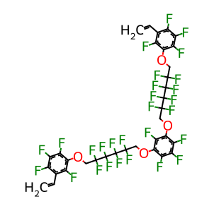 C=Cc1c(F)c(F)c(F)c(OCC(F)(F)C(F)(F)C(F)(F)C(F)(F)COc2c(F)c(F)c(F)c(OCC(F)(F)C(F)(F)C(F)(F)C(F)(F)COc3c(F)c(F)c(F)c(C=C)c3F)c2F)c1F